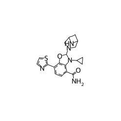 NC(=O)c1ccc(-c2nccs2)c2c1N(C1CC1)C(N1CC3CC(C1)N3)O2